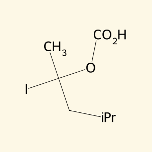 CC(C)CC(C)(I)OC(=O)O